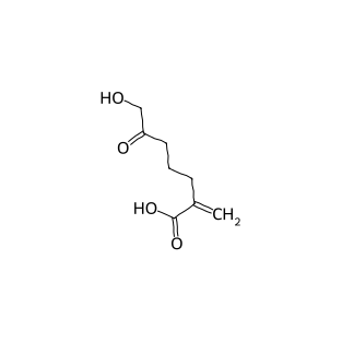 C=C(CCCC(=O)CO)C(=O)O